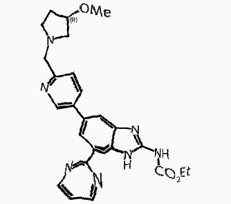 CCOC(=O)Nc1nc2cc(-c3ccc(CN4CC[C@@H](OC)C4)nc3)cc(-c3ncccn3)c2[nH]1